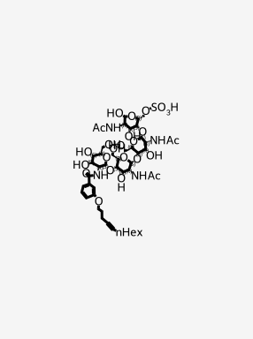 CCCCCCC#CCCCOc1cccc(C(=O)N[C@H]2[C@H](O[C@H]3[C@H](O)[C@@H](NC(C)=O)[C@H](O[C@H]4[C@H](O)[C@@H](NC(C)=O)[C@H](O[C@H]5[C@H](O)[C@@H](NC(C)=O)C(O)O[C@@H]5COS(=O)(=O)O)O[C@@H]4CO)O[C@@H]3CO)O[C@H](CO)[C@@H](O)[C@@H]2O)c1